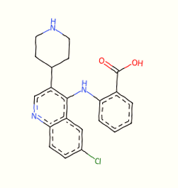 O=C(O)c1ccccc1Nc1c(C2CCNCC2)cnc2ccc(Cl)cc12